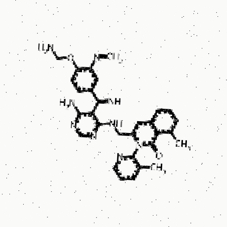 C=Nc1cc(C(=N)c2c(N)ncnc2NCc2cc3cccc(C)c3c(=O)n2-c2ncccc2C)ccc1OCN